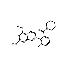 CNc1nc(N)nc2cc(-c3c(C)cccc3C(=O)N3CCCCC3)ccc12